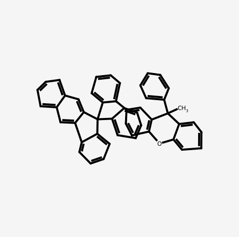 CC1(c2ccccc2)c2ccccc2Oc2ccc(-c3ccccc3C3(c4ccccc4)c4ccccc4-c4cc5ccccc5cc43)cc21